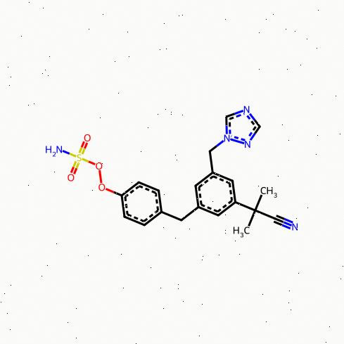 CC(C)(C#N)c1cc(Cc2ccc(OOS(N)(=O)=O)cc2)cc(Cn2cncn2)c1